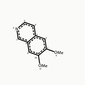 COc1cc2[c]cncc2cc1OC